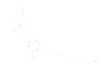 COc1cc(CCC(N)(CO)CC2CC2)ccc1OCCCCCCCCC(C)C